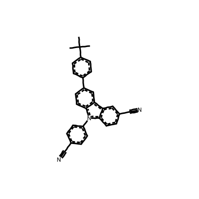 CC(C)(C)c1ccc(-c2ccc3c(c2)c2cc(C#N)ccc2n3-c2ccc(C#N)cc2)cc1